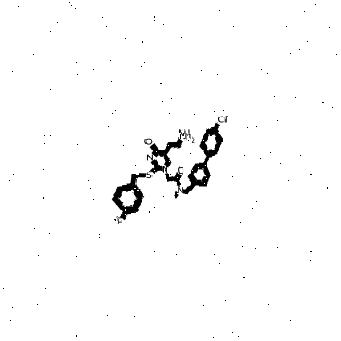 CN(Cc1ccc(-c2ccc(Cl)cc2)cc1)C(=O)Cn1cc(CCN)c(=O)nc1SCc1ccc(F)cc1